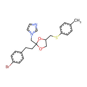 Cc1ccc(SCC2COC(CCc3ccc(Br)cc3)(Cn3ccnc3)O2)cc1